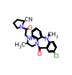 C[C@H](CN1C(=O)c2cc(Cl)ccc2N(C)c2ccccc21)NCC(=O)N1CCCC1C#N